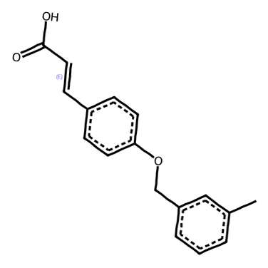 Cc1cccc(COc2ccc(/C=C/C(=O)O)cc2)c1